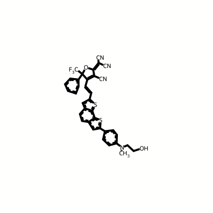 CN(CCO)c1ccc(-c2cc3ccc4cc(/C=C/C5=C(C#N)C(=C(C#N)C#N)OC5(c5ccccc5)C(F)(F)F)sc4c3s2)cc1